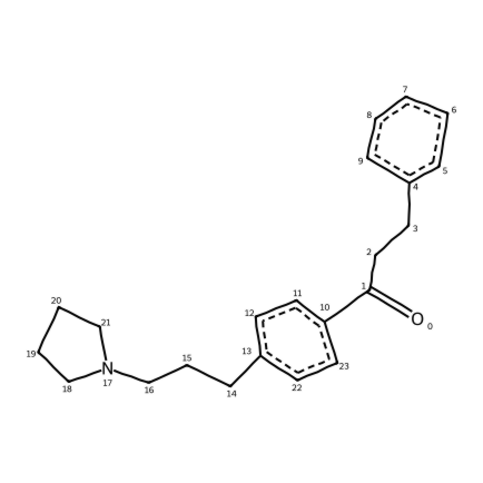 O=C(CCc1ccccc1)c1ccc(CCCN2CCCC2)cc1